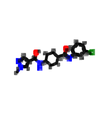 Cn1cc(C(=O)NC2CCC(c3nc4cc(Cl)ccc4o3)CC2)cn1